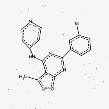 Cc1noc2nc(-c3cccc(Br)c3)nc(Nc3ccncc3)c12